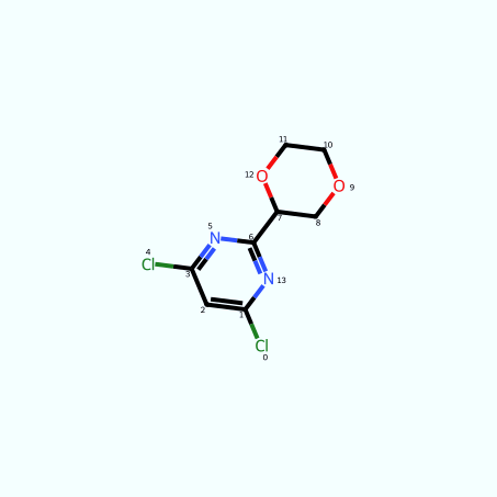 Clc1cc(Cl)nc(C2COCCO2)n1